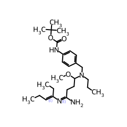 CC/C=C(CC)/N=C(/N)CCC(OC)N(CCC)Cc1ccc(NC(=O)OC(C)(C)C)cc1